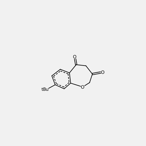 CC(C)(C)c1ccc2c(c1)OCC(=O)CC2=O